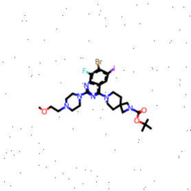 COCCN1CCN(c2nc(N3CCC4(CC3)CN(C(=O)OC(C)(C)C)C4)c3cc(I)c(Br)c(F)c3n2)CC1